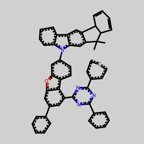 CC1(C)c2cc3c(cc2C2C=CC=CC21)c1ccccc1n3-c1ccc2c(c1)oc1cc(-c3ccccc3)cc(-c3nc(-c4ccccc4)nc(-c4ccccc4)n3)c12